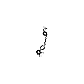 CN(C)Cc1ccc(OCCCCN2CCN(c3cccc(Cl)c3Cl)CC2)cc1